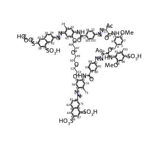 COc1ccc(C)cc1NC(=O)C(/N=N/c1ccc(C(=O)Nc2cc(C)c(/N=N/c3ccc4cc(SOOO)cc(S(=O)(=O)O)c4c3)cc2OCCOCCOCCOc2cc(/N=N/c3ccc4cc(S(=O)(=O)O)cc(S(=O)(=O)O)c4c3)c(C)cc2NC(=O)c2ccc(/N=N/C(C(C)=O)C(=O)Nc3cc(C)c(S(=O)(=O)O)cc3OC)cc2)cc1)C(C)=O